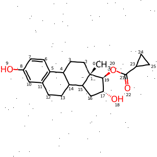 C[C@]12CCC3c4ccc(O)cc4CCC3C1C[C@@H](O)[C@@H]2OC(=O)C1CC1